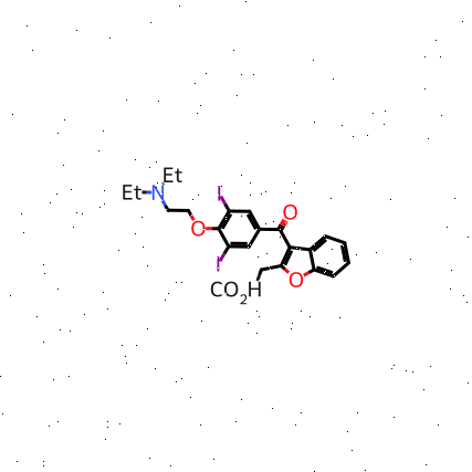 CCN(CC)CCOc1c(I)cc(C(=O)c2c(CC(=O)O)oc3ccccc23)cc1I